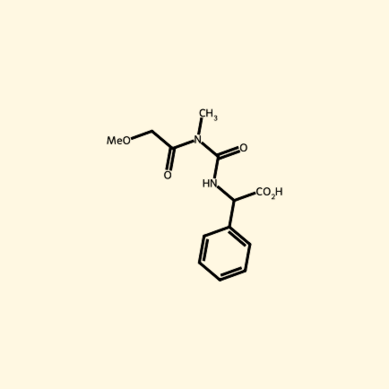 COCC(=O)N(C)C(=O)NC(C(=O)O)c1ccccc1